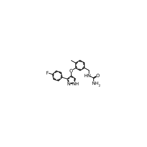 Cc1ccc(CNC(N)=O)cc1Oc1c[nH]nc1-c1ccc(F)cc1